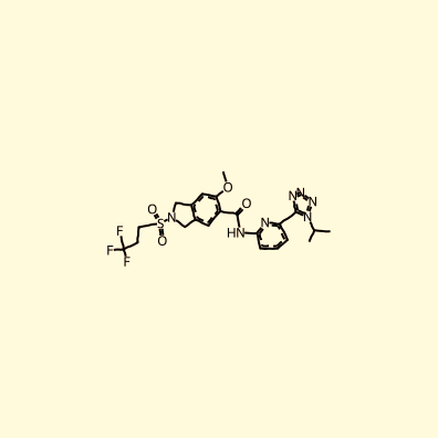 COc1cc2c(cc1C(=O)Nc1cccc(-c3nnnn3C(C)C)n1)CN(S(=O)(=O)CCC(F)(F)F)C2